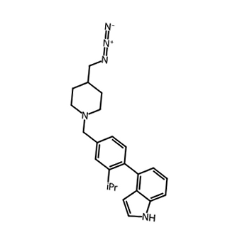 CC(C)c1cc(CN2CCC(CN=[N+]=[N-])CC2)ccc1-c1cccc2[nH]ccc12